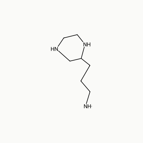 [NH]CCCC1CNCCN1